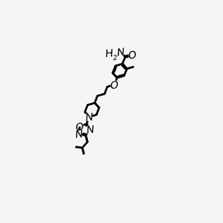 Cc1cc(OCCCC2CCN(c3nc(CC(C)C)no3)CC2)ccc1C(N)=O